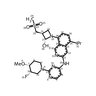 CO[C@@H]1CCN(c2nccc(Nc3cc4c(C(C)C)ccc(N5C[C@H](CS(C)(=O)=O)[C@H]5C)c4cn3)n2)C[C@@H]1F